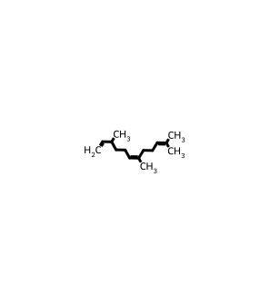 C=CC(C)CCC=C(C)CCC=C(C)C